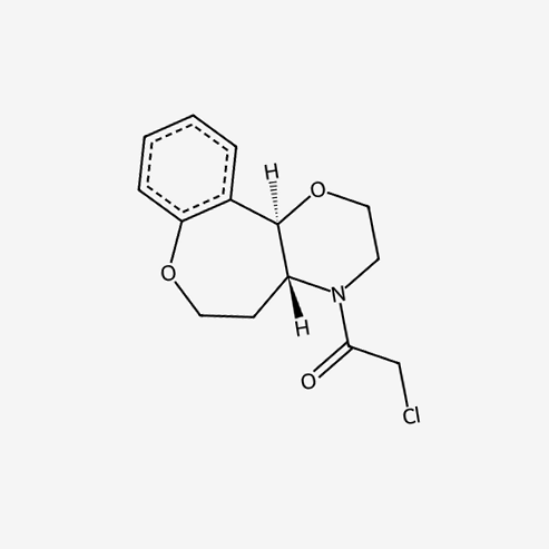 O=C(CCl)N1CCO[C@@H]2c3ccccc3OCC[C@H]21